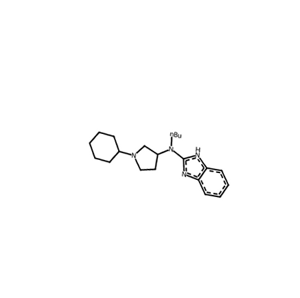 CCCCN(c1nc2ccccc2[nH]1)C1CCN(C2CCCCC2)C1